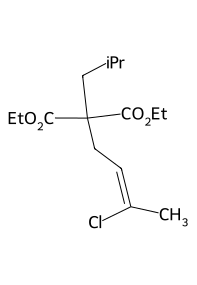 CCOC(=O)C(CC=C(C)Cl)(CC(C)C)C(=O)OCC